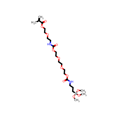 C=C(C)C(=O)OCCOCCNC(=O)OCCOCCOCCOC(=O)NCCC[Si](OC)(OC)OC